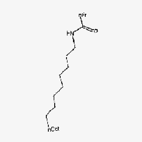 CCCCCCCCCCCCCCCCNC(=O)CCC